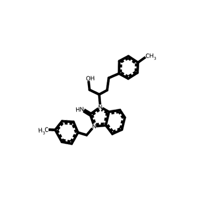 Cc1ccc(CCC(CO)n2c(=N)n(Cc3ccc(C)cc3)c3ccccc32)cc1